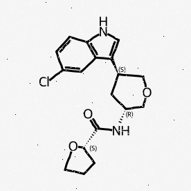 O=C(N[C@H]1COC[C@H](c2c[nH]c3ccc(Cl)cc23)C1)[C@@H]1CCCO1